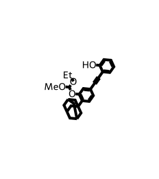 CCOC(OC)Oc1cc(C#Cc2ccccc2O)ccc1C12CC3CC(CC(C3)C1)C2